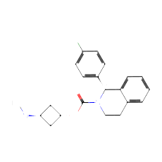 CCN[C@H]1C[C@H](OC(=O)N2CCc3ccccc3[C@@H]2c2ccc(F)cc2)C1